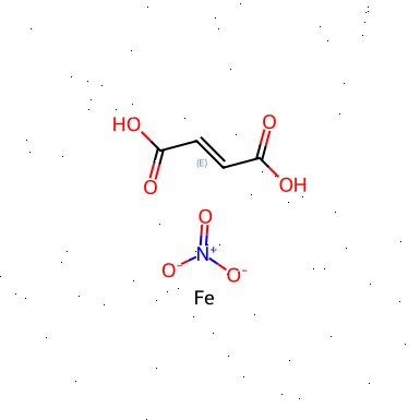 O=C(O)/C=C/C(=O)O.O=[N+]([O-])[O-].[Fe]